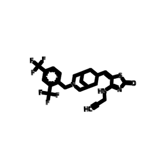 C#CCNC1=NC(=O)SC1=CC1CC2CC(C1)CN(Cc1ccc(C(F)(F)F)cc1C(F)(F)F)C2